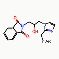 CCCCCCCCCCCc1nccn1CC(O)CN1C(=O)c2ccccc2C1=O